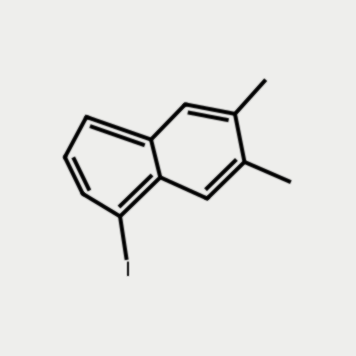 Cc1cc2cccc(I)c2cc1C